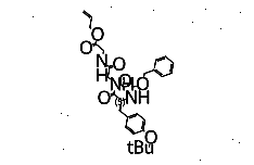 C=CCOC(=O)CNC(=O)CNC(=O)[C@H](Cc1ccc(OC(C)(C)C)cc1)NC(=O)OCc1ccccc1